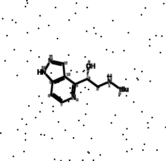 CC(C)(C)NC[C@@H](O)c1nccc2[nH]ncc12